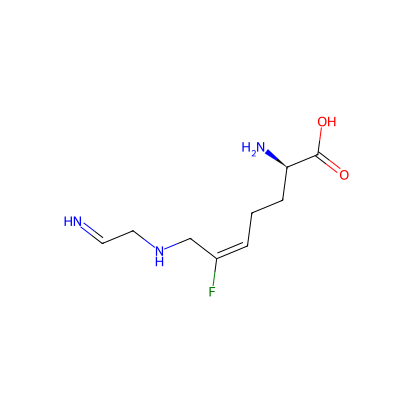 N=CCNC/C(F)=C\CC[C@@H](N)C(=O)O